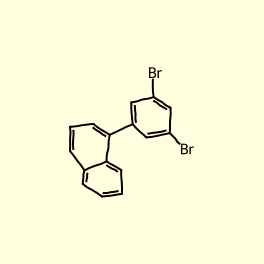 Brc1cc(Br)cc(-c2cccc3ccccc23)c1